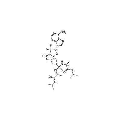 CC(C)OC(=O)[C@H](C)NP(=S)(N[C@@H](C)C(=O)OC(C)C)OC[C@@]1(C(F)F)O[C@@H](n2cnc3c(N)ncnc32)C(F)(F)[C@@H]1O